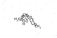 COC(=O)[C@@H](C(=O)C(C)c1ccc2cc(OC)ccc2c1)[C@@H](O)C(=O)OC